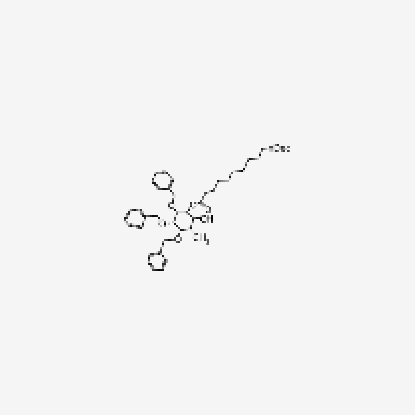 CCCCCCCCCCCCCCCCCCCC(=O)O[C@H]1[C@@H](O)[C@H](C)[C@@H](OCc2ccccc2)[C@H](OCc2ccccc2)[C@H]1OCc1ccccc1